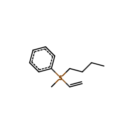 C=CS(C)(CCCC)c1ccccc1